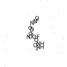 CC(=O)N1CCN(Cc2ccc(-c3cc4nccc(Oc5ccc(NC(=O)NC6CC6)cc5F)c4s3)nc2)CC1